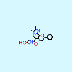 Cc1nc2c3c(c(C(=O)N4CC(O)C4)cn2c1C)CCC(c1ccccc1)O3